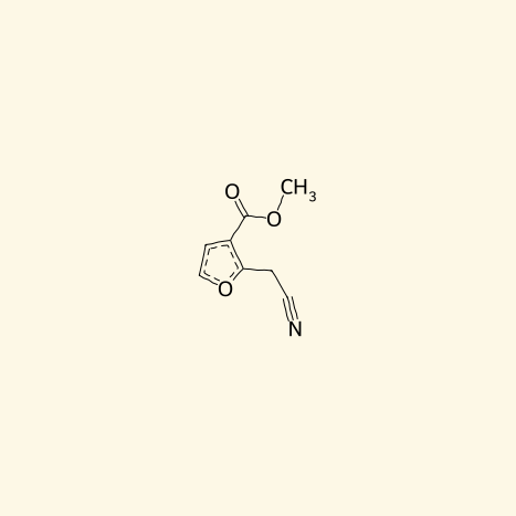 COC(=O)c1ccoc1CC#N